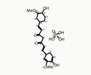 COC1=CC(/C=C/C(=O)CC(=O)/C=C/C2CCC(O)C(OC)C2)CC=C1O.O=P(O)(O)O